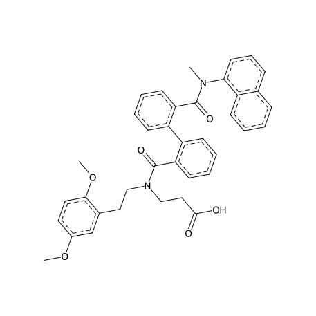 COc1ccc(OC)c(CCN(CCC(=O)O)C(=O)c2ccccc2-c2ccccc2C(=O)N(C)c2cccc3ccccc23)c1